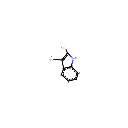 CCCCC1=C(CCCC)c2ccccc2[N]1